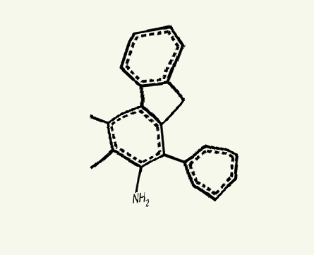 Cc1c(C)c2c(c(-c3ccccc3)c1N)Cc1ccccc1-2